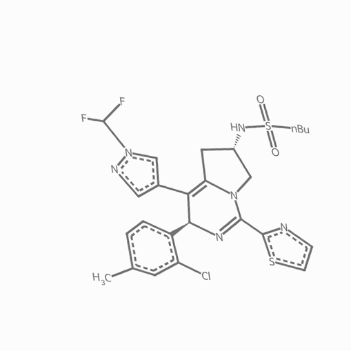 CCCCS(=O)(=O)N[C@H]1CC2=C(c3cnn(C(F)F)c3)[C@H](c3ccc(C)cc3Cl)N=C(c3nccs3)N2C1